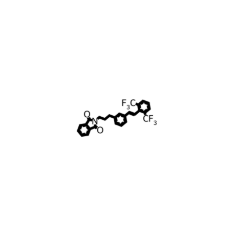 O=C1c2ccccc2C(=O)N1CCCc1cccc(C=Cc2c(C(F)(F)F)cccc2C(F)(F)F)c1